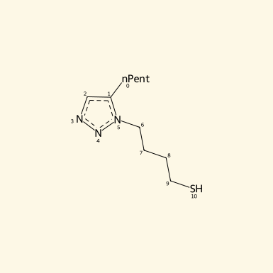 CCCCCc1cnnn1CCCCS